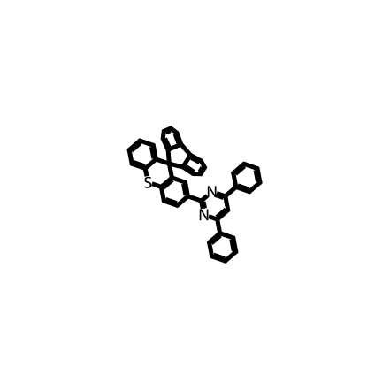 c1ccc(-c2cc(-c3ccccc3)nc(-c3ccc4c(c3)C3(c5ccccc5S4)c4ccccc4-c4ccccc43)n2)cc1